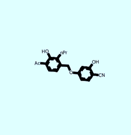 CCCc1c(COc2ccc(C#N)c(O)c2)ccc(C(C)=O)c1O